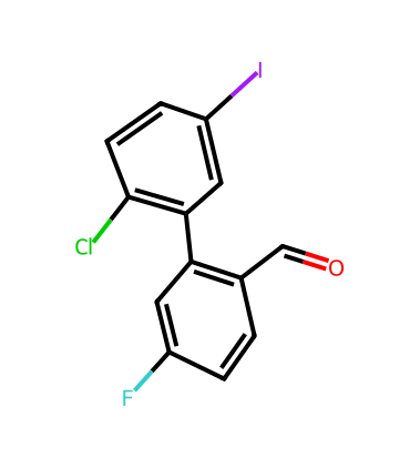 O=Cc1ccc(F)cc1-c1cc(I)ccc1Cl